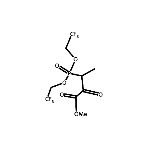 COC(=O)C(=O)C(C)P(=O)(OCC(F)(F)F)OCC(F)(F)F